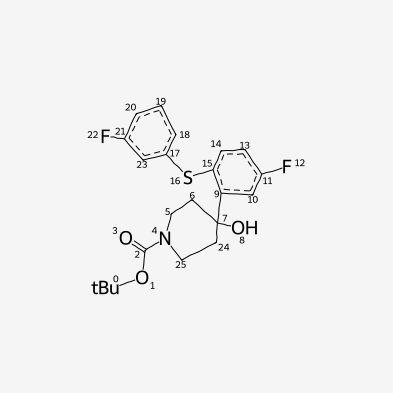 CC(C)(C)OC(=O)N1CCC(O)(c2cc(F)ccc2Sc2cccc(F)c2)CC1